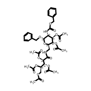 CC(=O)OC[C@@H](OC(C)=O)[C@@H](OC(C)=O)[C@@H](OC(C)=O)C(=O)NC[C@H]1O[C@H](OCc2ccccc2)[C@H](NC(=O)OCc2ccccc2)[C@@H](OC(C)=O)[C@@H]1OC(C)=O